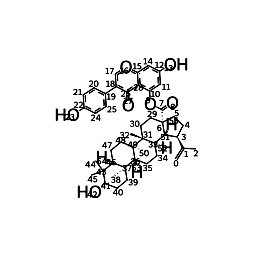 C=C(C)[C@@H]1CC[C@]2(C(=O)Oc3cc(O)cc4occ(-c5ccc(O)cc5)c(=O)c34)CC[C@]3(C)[C@H](CC[C@@H]4[C@@]5(C)CC[C@H](O)C(C)(C)[C@@H]5CC[C@]43C)[C@@H]12